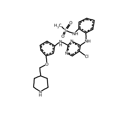 CS(=O)(=O)Nc1ccccc1Nc1nc(Nc2cccc(OCC3CCNCC3)c2)ncc1Cl